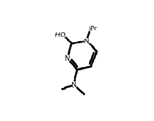 CC(C)N1C=CC(N(C)C)=NC1O